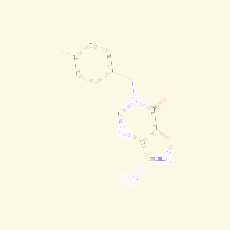 Nc1nsc2c(=O)n(Cc3ccc(F)cc3)cnc12